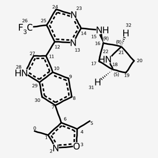 Cc1noc(C)c1-c1ccc2c(-c3nc(N[C@@H]4C[C@@H]5CC[C@H]4N5)ncc3C(F)(F)F)c[nH]c2c1